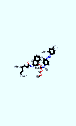 CCCCCCCCCCCCC(CCC(=O)Nc1cc(OC(C)(OCOCC)N(CC)c2ccc(N=Nc3ccc([N+](=O)[O-])cc3OC)c(NC(C)=O)c2)c2ccccc2c1)OC